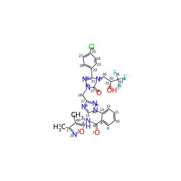 Cc1noc(NC(=O)c2ccccc2-n2cnc(Cn3nc(-c4ccc(Cl)cc4)n(C[C@H](O)C(F)(F)F)c3=O)n2)c1C